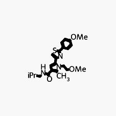 COCCn1c(-c2csc(-c3ccc(OC)cc3)n2)cc(C(=O)NCC(C)C)c1C